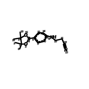 CC1(C)OB(c2ccc(NCCC#N)cc2)OC1(C)C